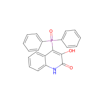 O=c1[nH]c2ccccc2c(P(=O)(c2ccccc2)c2ccccc2)c1O